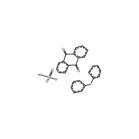 O=C1c2ccccc2C(=O)c2ccccc21.O=S(=O)([O-])O.c1ccc([I+]c2ccccc2)cc1